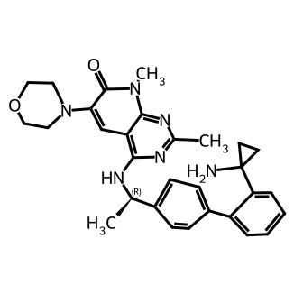 Cc1nc(N[C@H](C)c2ccc(-c3ccccc3C3(N)CC3)cc2)c2cc(N3CCOCC3)c(=O)n(C)c2n1